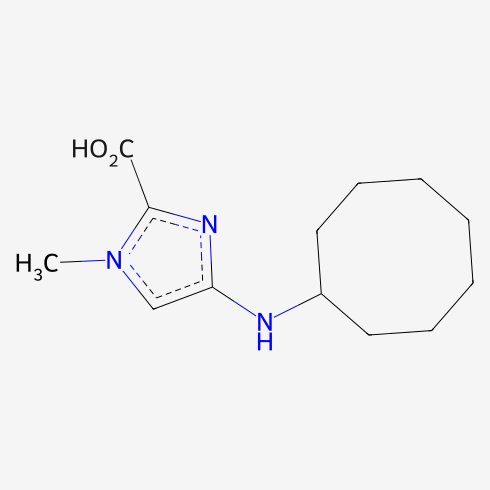 Cn1cc(NC2CCCCCCC2)nc1C(=O)O